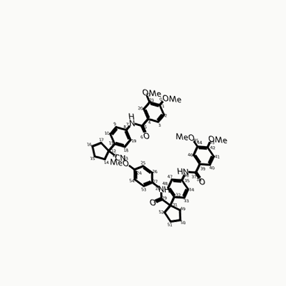 COc1ccc(C(=O)Nc2ccc(C3(C#N)CCCC3)cc2)cc1OC.COc1ccc(NC(=O)C2(c3ccc(NC(=O)c4ccc(OC)c(OC)c4)cc3)CCCC2)cc1